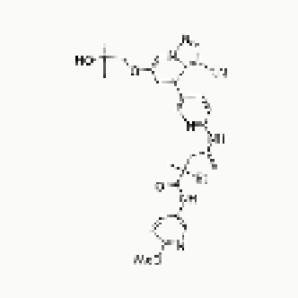 C=C(CC(C)(CC)C(=O)Nc1ccc(OC)nc1)Nc1ccc(-c2cc(OCC(C)(C)O)cn3ncc(C#N)c23)cn1